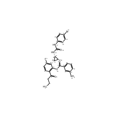 CCCC(=O)c1ccc(F)c([C@H]2C[C@H]2NC(=O)Nc2ccc(Br)cn2)c1OC(=O)c1cccc(N)c1